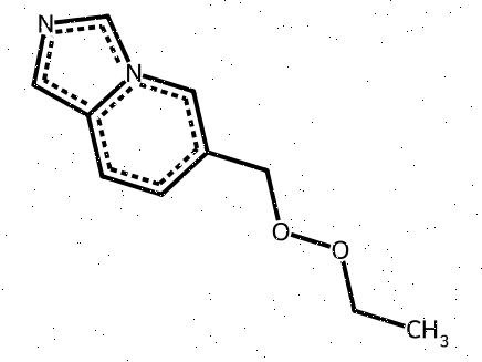 CCOOCc1ccc2cncn2c1